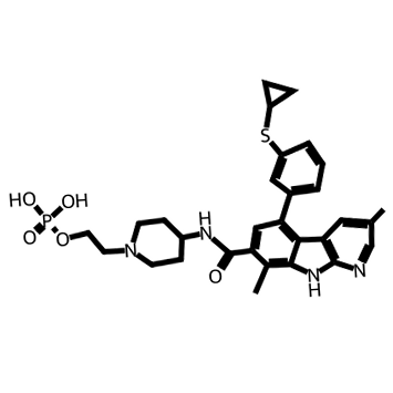 Cc1cnc2[nH]c3c(C)c(C(=O)NC4CCN(CCOP(=O)(O)O)CC4)cc(-c4cccc(SC5CC5)c4)c3c2c1